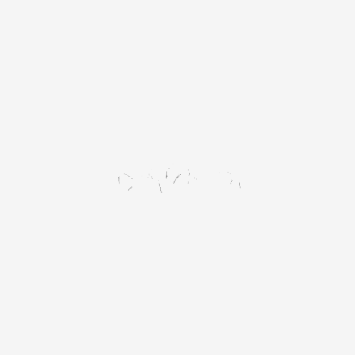 C=CC(=O)NC1CC2CN(S(=O)(=O)c3cc(C(=O)NCCc4ccccc4)co3)CC2C1